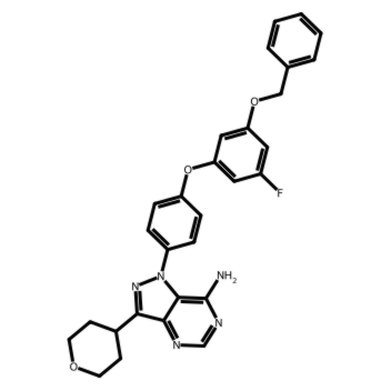 Nc1ncnc2c(C3CCOCC3)nn(-c3ccc(Oc4cc(F)cc(OCc5ccccc5)c4)cc3)c12